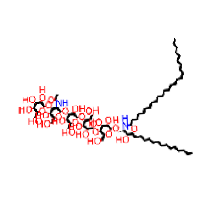 CCCCCCCC/C=C\CCCCCCCCCCCCCCCC(=O)N[C@@H](CO[C@@H]1OC(CO)[C@@H](O[C@@H]2OC(CO)[C@H](O[C@@H]3OC(CO)[C@H](O)[C@H](O[C@@H]4OC(CO)[C@H](O)[C@H](O[C@@H]5OC(CO)[C@H](O)[C@H](O)C5O)C4NC(C)=O)C3O)[C@H](O)C2O)[C@H](O)C1O)[C@H](O)/C=C/CCCCCCCCCCCCC